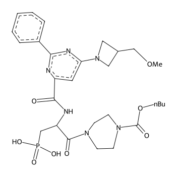 CCCCOC(=O)N1CCN(C(=O)C(CP(=O)(O)O)NC(=O)c2cc(N3CC(COC)C3)nc(-c3ccccc3)n2)CC1